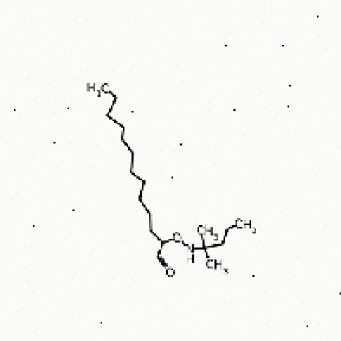 CCCCCCCCCCCC(C=O)ONC(C)(C)CCC